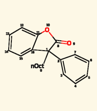 CCCCCCCCC1(c2ccccc2)C(=O)Oc2ccccc21